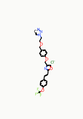 FC(F)(F)Oc1ccc(C=Cc2nc(COc3ccc(COCCN4C=[C+]N=N4)cc3)co2)cc1.[Cl-]